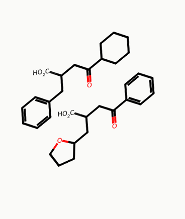 O=C(CC(CC1CCCO1)C(=O)O)c1ccccc1.O=C(O)C(CC(=O)C1CCCCC1)Cc1ccccc1